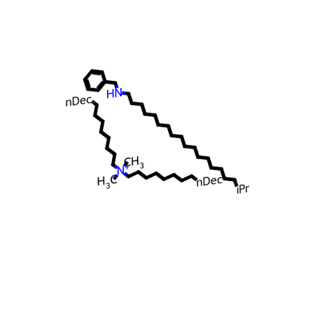 CC(C)CCCCCCCCCCCCCCCCCNCc1ccccc1.CCCCCCCCCCCCCCCCCC[N+](C)(C)CCCCCCCCCCCCCCCCCC